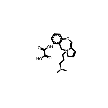 CN(C)CCC[N+]12CC=CC1=COc1ccccc1C2.O=C(O)C(=O)O